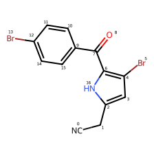 N#CCc1cc(Br)c(C(=O)c2ccc(Br)cc2)[nH]1